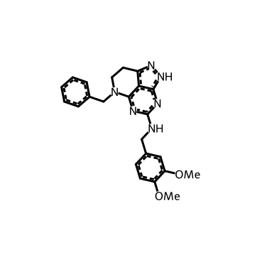 COc1ccc(CNc2nc3c4c(n[nH]c4n2)CCN3Cc2ccccc2)cc1OC